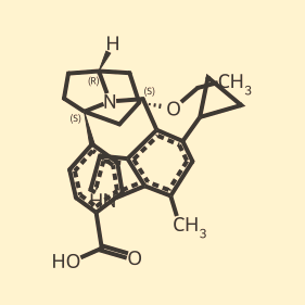 CCO[C@H]1C[C@H]2CC[C@@](c3ccc(C(=O)O)cc3)(C1)N2Cc1c(C2CC2)cc(C)c2[nH]ccc12